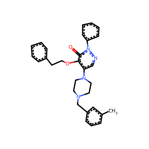 Cc1cccc(CN2CCN(c3cnn(-c4ccccc4)c(=O)c3OCCc3ccccc3)CC2)c1